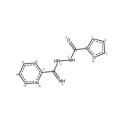 N=C(NNC(=O)c1ccco1)c1ccccn1